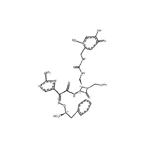 COCN1C(=O)[C@@H](NC(=O)/C(=N\O[C@@H](Cc2ccccc2)C(=O)O)c2csc(N)n2)[C@H]1CNC(=O)NCc1cc(=O)c(O)cn1O